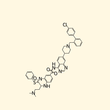 CN(C)CCC(CSc1ccccc1)Nc1ccc(S(=O)(=O)Nc2ncnc3cc(C4CCN(Cc5ccccc5-c5ccc(Cl)cc5)CC4)ccc23)cc1[N+](=O)[O-]